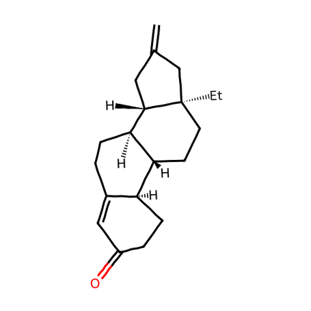 C=C1C[C@H]2[C@@H]3CCC4=CC(=O)CC[C@@H]4[C@H]3CC[C@]2(CC)C1